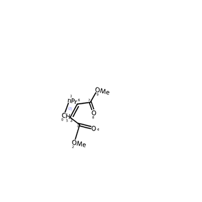 CCCC.COC(=O)/C=C\C(=O)OC